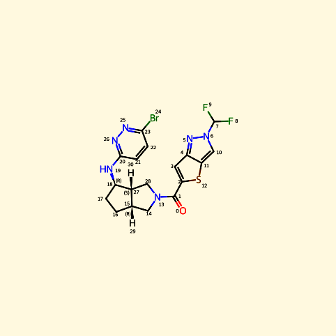 O=C(c1cc2nn(C(F)F)cc2s1)N1C[C@@H]2CC[C@@H](Nc3ccc(Br)nn3)[C@@H]2C1